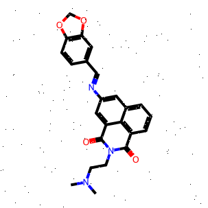 CN(C)CCN1C(=O)c2cccc3cc(N=Cc4ccc5c(c4)OCO5)cc(c23)C1=O